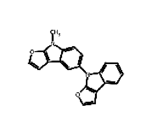 Cn1c2ccc(-n3c4ccccc4c4ccoc43)cc2c2ccoc21